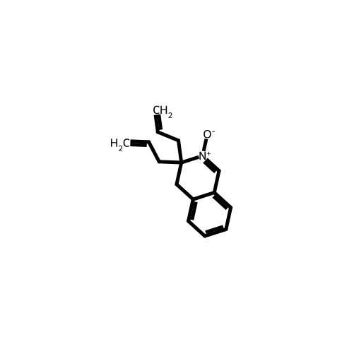 C=CCC1(CC=C)Cc2ccccc2C=[N+]1[O-]